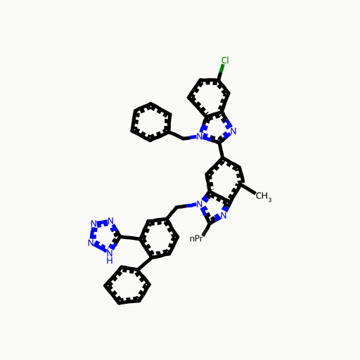 CCCc1nc2c(C)cc(-c3nc4cc(Cl)ccc4n3Cc3ccccc3)cc2n1Cc1ccc(-c2ccccc2)c(-c2nnn[nH]2)c1